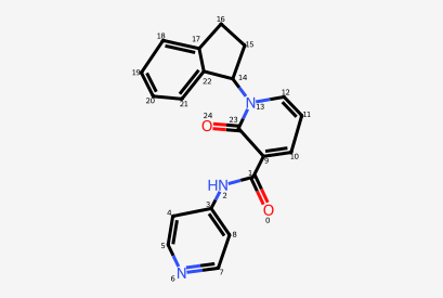 O=C(Nc1ccncc1)c1cccn(C2CCc3ccccc32)c1=O